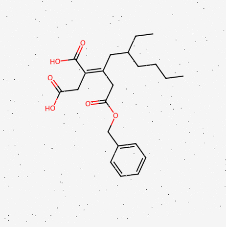 CCCCC(CC)CC(CC(=O)OCc1ccccc1)=C(CC(=O)O)C(=O)O